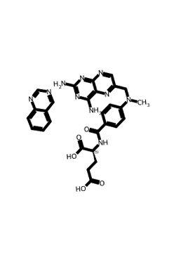 CN(Cc1cnc2nc(N)nc(N)c2n1)c1ccc(C(=O)N[C@@H](CCC(=O)O)C(=O)O)cc1.c1ccc2ncncc2c1